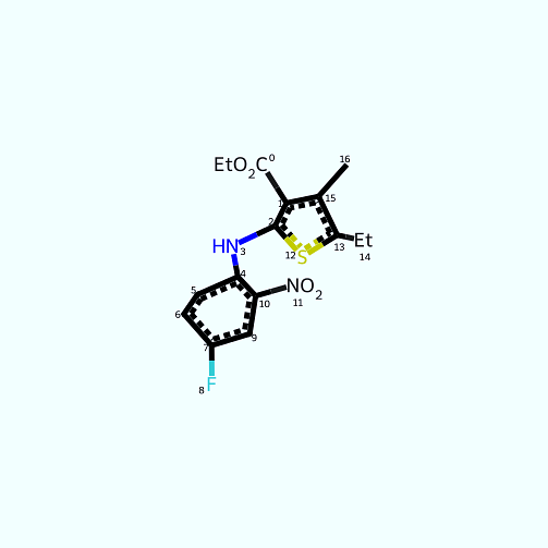 CCOC(=O)c1c(Nc2ccc(F)cc2[N+](=O)[O-])sc(CC)c1C